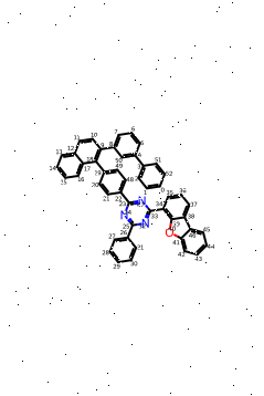 c1ccc(-c2cccc(-c3ccc4ccccc4c3-c3ccc(-c4nc(-c5ccccc5)nc(-c5cccc6c5oc5ccccc56)n4)cc3)c2)cc1